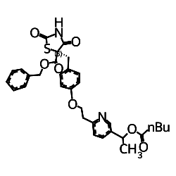 CCCCC(=O)OC(C)c1ccc(CCOc2ccc(C[C@]3(C(=O)OCc4ccccc4)SC(=O)NC3=O)cc2)nc1